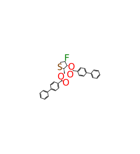 O=C(OC[C@H]1SC[C@@H](F)C1OC(=O)c1ccc(-c2ccccc2)cc1)c1ccc(-c2ccccc2)cc1